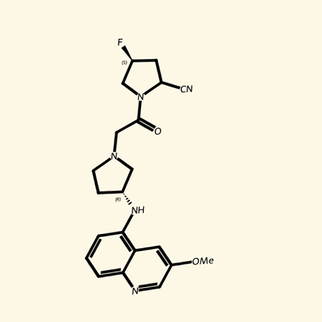 COc1cnc2cccc(N[C@@H]3CCN(CC(=O)N4C[C@@H](F)CC4C#N)C3)c2c1